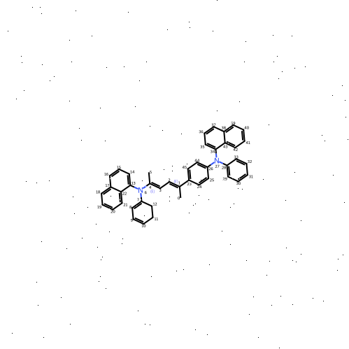 C/C(=C\C=C(/C)N(C1=CC=CCC1)c1cccc2ccccc12)c1ccc(N(c2ccccc2)c2cccc3ccccc23)cc1